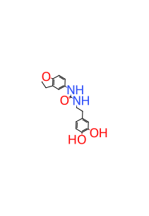 O=C(NCCc1ccc(O)c(O)c1)Nc1ccc2c(c1)CCO2